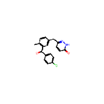 Cc1ccc(Cc2ccc(=O)[nH]n2)cc1C(=O)c1ccc(Cl)cc1